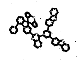 c1ccc(-c2cccc3c2-c2ccc(-c4nc(-c5cc(-c6ccc7c(c6)oc6ccccc67)cc(-c6ccc7c(c6)sc6ccccc67)c5)c5ccccc5n4)cc2C32c3ccccc3Oc3ccccc32)cc1